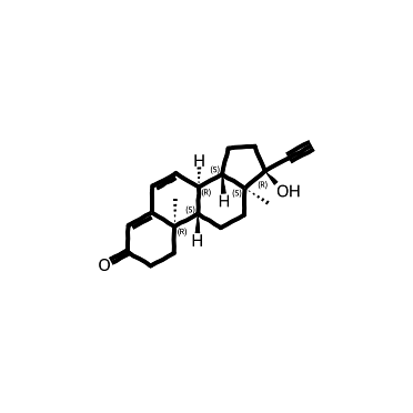 C#C[C@@]1(O)CC[C@H]2[C@@H]3C=CC4=CC(=O)CC[C@]4(C)[C@H]3CC[C@@]21C